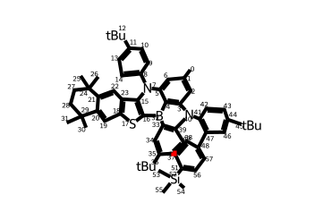 Cc1cc2c3c(c1)N(c1ccc(C(C)(C)C)cc1)c1c(sc4cc5c(cc14)C(C)(C)CCC5(C)C)B3c1cc(C(C)(C)C)ccc1N2c1ccc(C(C)(C)C)cc1-c1ccc([Si](C)(C)C)cc1